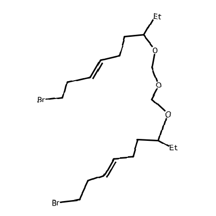 CCC(CCC=CCCBr)OCOCOC(CC)CCC=CCCBr